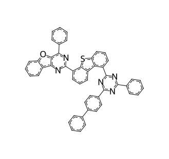 c1ccc(-c2ccc(-c3nc(-c4ccccc4)nc(-c4cccc5sc6c(-c7nc(-c8ccccc8)c8oc9ccccc9c8n7)cccc6c45)n3)cc2)cc1